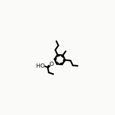 CCC(=O)O.CCCc1cccc(CCC)c1C